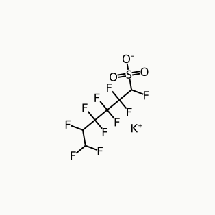 O=S(=O)([O-])C(F)C(F)(F)C(F)(F)C(F)(F)C(F)C(F)F.[K+]